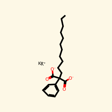 CCCCCCCCCCCC(C(=O)[O-])(C(=O)[O-])c1ccccc1.[K+].[K+]